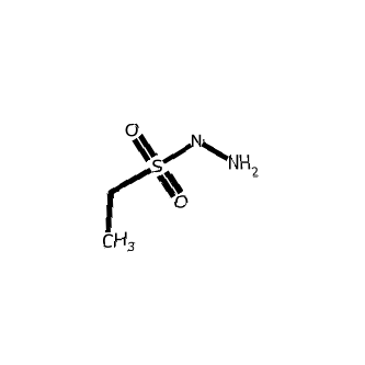 CCS(=O)(=O)[N]N